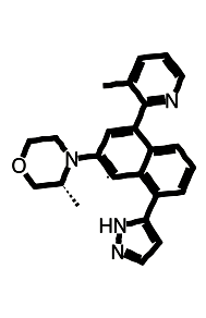 Cc1cccnc1-c1cc(N2CCOC[C@H]2C)[c]c2c(-c3ccn[nH]3)cccc12